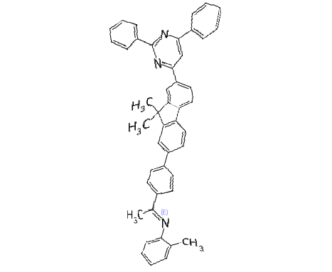 C/C(=N\c1ccccc1C)c1ccc(-c2ccc3c(c2)C(C)(C)c2cc(-c4cc(-c5ccccc5)nc(-c5ccccc5)n4)ccc2-3)cc1